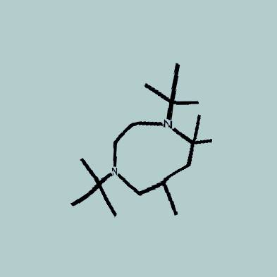 CC1CN(C(C)(C)C)CCN(C(C)(C)C)C(C)(C)C1